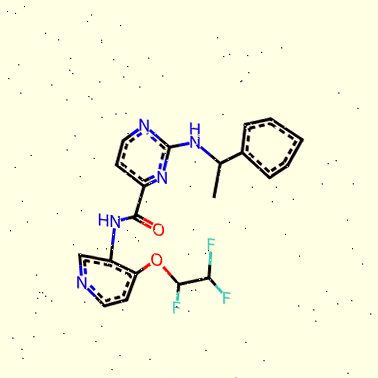 CC(Nc1nccc(C(=O)Nc2cnccc2OC(F)C(F)F)n1)c1ccccc1